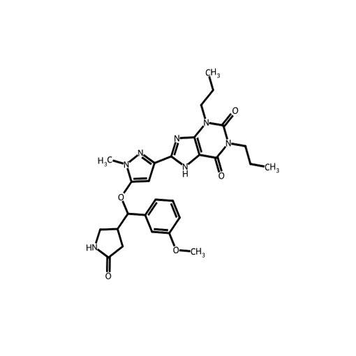 CCCn1c(=O)c2[nH]c(-c3cc(OC(c4cccc(OC)c4)C4CNC(=O)C4)n(C)n3)nc2n(CCC)c1=O